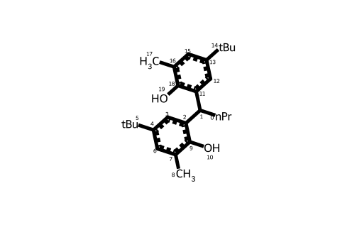 CCCC(c1cc(C(C)(C)C)cc(C)c1O)c1cc(C(C)(C)C)cc(C)c1O